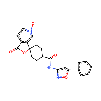 O=C1OC2(CCC(C(=O)Nc3cc(-c4ccccc4)on3)CC2)c2c[n+]([O-])ccc21